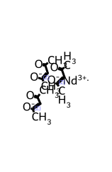 CC(=O)/C=C(/C)[O-].CC(=O)/C=C(/C)[O-].CC(=O)/C=C(/C)[O-].[Nd+3]